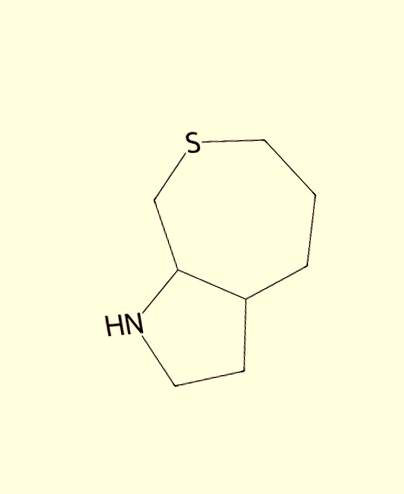 C1CSCC2NCCC2C1